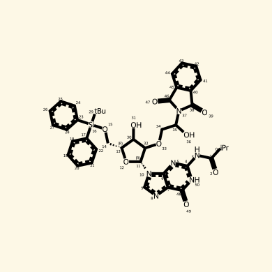 CC(C)C(=O)Nc1nc2c(ncn2[C@@H]2O[C@H](CO[Si](c3ccccc3)(c3ccccc3)C(C)(C)C)C(O)C2OCC(O)N2C(=O)c3ccccc3C2=O)c(=O)[nH]1